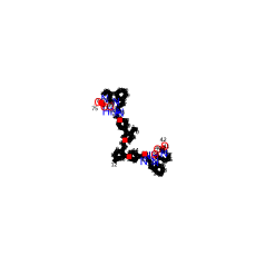 CCc1ccc(CCc2ccc(C)cc2-c2ccc(-c3c[nH]c(C4CC5CCCCC5N4C(=O)C4CCCN4C(=O)OC)n3)cc2)cc1-c1ccc(-c2c[nH]c(C3CC4CCCCC4N3C(=O)C3CCCN3C(=O)OC)n2)cc1